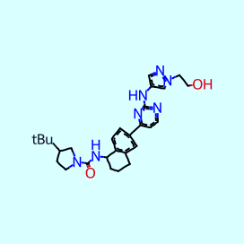 CC(C)(C)C1CCN(C(=O)NC2CCCc3cc(-c4ccnc(Nc5cnn(CCO)c5)n4)ccc32)C1